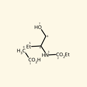 CC(=O)O.CCOC(=O)NC(CC)CO